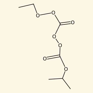 CCOOC(=O)OOC(=O)OC(C)C